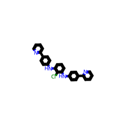 Clc1c(Nc2ccc(-c3ccccn3)cc2)cccc1Nc1ccc(-c2ccccn2)cc1